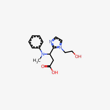 CN(c1ccccc1)C(CC(=O)O)c1nccn1CCO